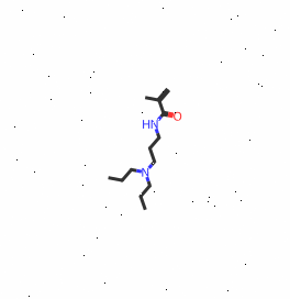 C=C(C)C(=O)NCCCN(CCC)CCC